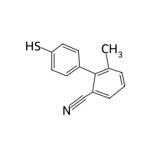 Cc1cccc(C#N)c1-c1ccc(S)cc1